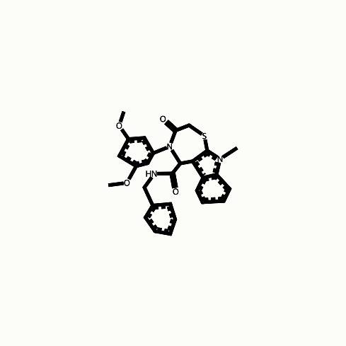 COc1cc(OC)cc(N2C(=O)CSc3c(c4ccccc4n3C)C2C(=O)NCc2ccccc2)c1